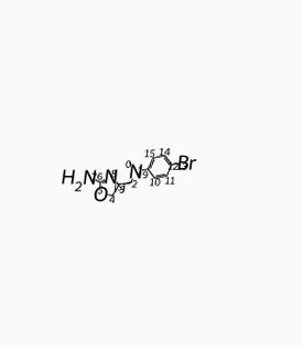 CN(C[C@H]1COC(N)=N1)c1ccc(Br)cc1